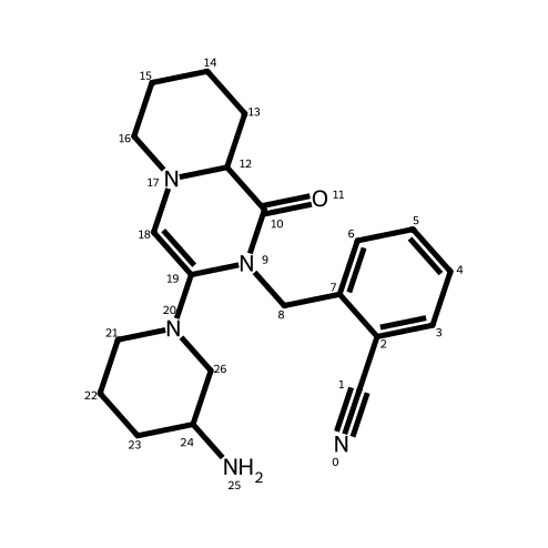 N#Cc1ccccc1CN1C(=O)C2CCCCN2C=C1N1CCCC(N)C1